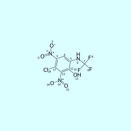 O=[N+]([O-])c1cc(NC(F)(F)F)c(O)c([N+](=O)[O-])c1Cl